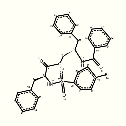 O=C(N[C@H](COC(=O)[C@H](Cc1ccccc1)NS(=O)(=O)c1ccc(Br)cc1)Cc1ccccc1)c1ccccc1